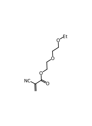 C=C(C#N)C(=O)OCCOCCOCC